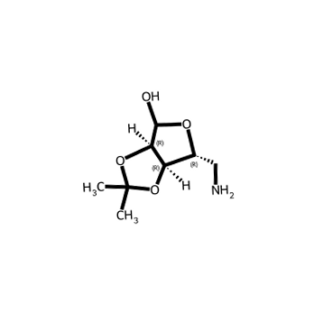 CC1(C)O[C@@H]2[C@@H](CN)OC(O)[C@@H]2O1